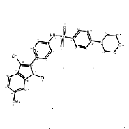 CCn1c(-c2ccc(NS(=O)(=O)c3ccc(N4CCOCC4)nc3)cc2)c(C#N)c2ccc(OC)cc21